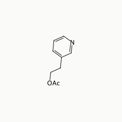 CC(=O)OCCc1cccnc1